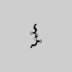 C/C=C/C(=O)OOC(=O)/C=C/C